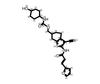 N#Cc1c(NC(=O)C=Cc2ccco2)sc2c1CCC(COC(=O)NC1CCC(O)CC1)C2